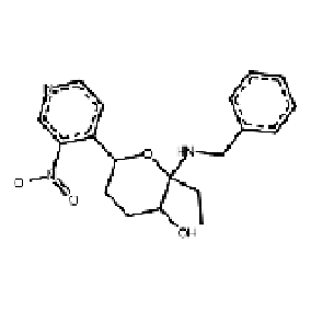 CCC1(NCc2ccccc2)OC(c2ccncc2[N+](=O)[O-])CCC1O